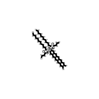 CCCCCCCCCCC[CH2][Sn]([CH2]CCCCCCCCCCC)([O]C(=O)CCC)[O][Sn]([CH2]CCCCCCCCCCC)([CH2]CCCCCCCCCCC)[O]C(=O)CCC